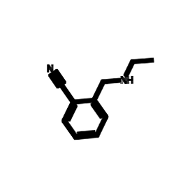 CCNCc1ccccc1C#N